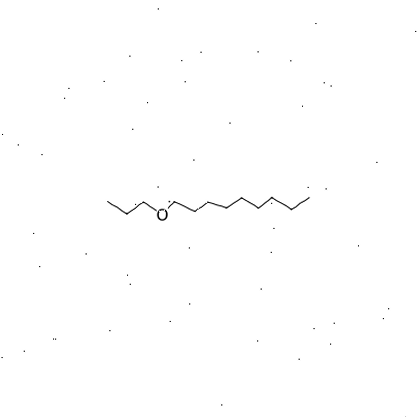 CCCCCCCC[CH]OCCC